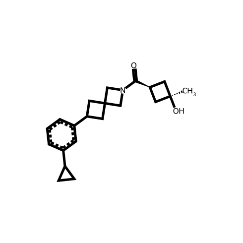 C[C@]1(O)C[C@@H](C(=O)N2CC3(CC(c4cccc(C5CC5)c4)C3)C2)C1